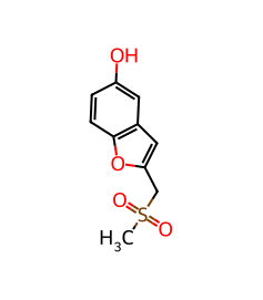 CS(=O)(=O)Cc1cc2cc(O)ccc2o1